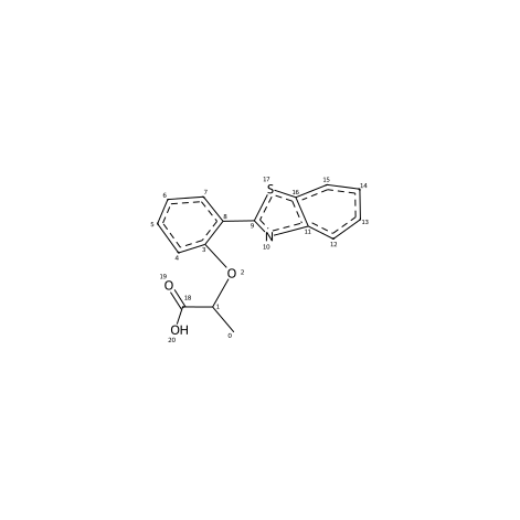 CC(Oc1ccccc1-c1nc2ccccc2s1)C(=O)O